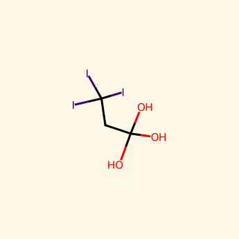 OC(O)(O)CC(I)(I)I